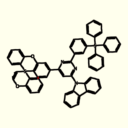 c1ccc(S(c2ccccc2)(c2ccccc2)c2cccc(-c3nc(-c4ccc5c(c4)Oc4ccccc4S54c5ccccc5Oc5ccccc54)cc(-n4c5ccccc5c5ccccc54)n3)c2)cc1